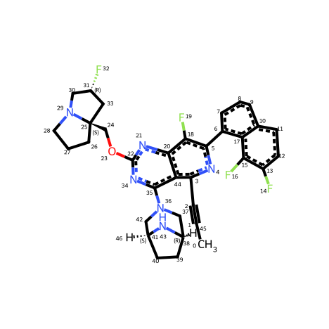 CC#Cc1nc(-c2cccc3ccc(F)c(F)c23)c(F)c2nc(OC[C@@]34CCCN3C[C@H](F)C4)nc(N3C[C@H]4CC[C@@H](C3)N4)c12